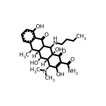 CCCCNC1C2C(=O)c3c(O)cccc3[C@H](C)[C@H]2[C@H](O)[C@H]2[C@H](N(C)C)C(O)=C(C(N)=O)C(=O)[C@@]12O